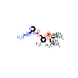 C[Si](C)(C)CCOP(=O)(OCC[Si](C)(C)C)Oc1ccc(C(F)(F)F)cc1COC(=O)Nc1cccnc1C=NNC(N)=S